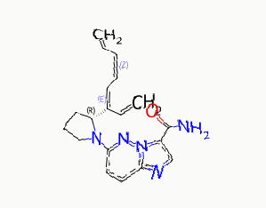 C=C/C=C\C=C(/C=C)[C@H]1CCCN1c1ccc2ncc(C(N)=O)n2n1